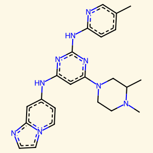 Cc1ccc(Nc2nc(Nc3ccn4ccnc4c3)cc(N3CCN(C)C(C)C3)n2)nc1